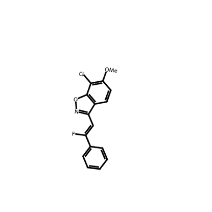 COc1ccc2c(C=C(F)c3ccccc3)noc2c1Cl